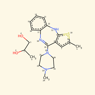 CC(O)CO.Cc1cc2c(s1)Nc1ccccc1N=C2N1CCN(C)CC1